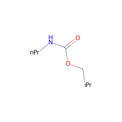 [CH2]CCNC(=O)OCC(C)C